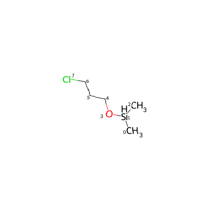 C[SiH](C)OCCCCl